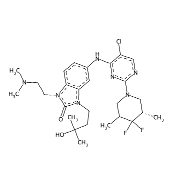 CC1CN(c2ncc(Cl)c(Nc3ccc4c(c3)n(CCC(C)(C)O)c(=O)n4CCN(C)C)n2)C[C@H](C)C1(F)F